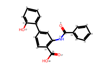 O=C(Nc1cc(-c2ccccc2O)ccc1C(=O)O)c1ccccc1